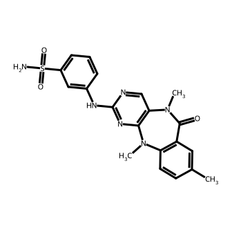 Cc1ccc2c(c1)C(=O)N(C)c1cnc(Nc3cccc(S(N)(=O)=O)c3)nc1N2C